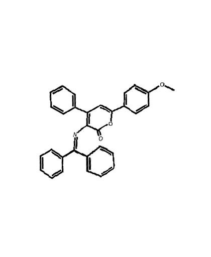 COc1ccc(-c2cc(-c3ccccc3)c(N=C(c3ccccc3)c3ccccc3)c(=O)o2)cc1